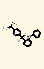 C=C(C)c1ccc(C(C)(C)c2ccccc2Nc2ccccc2)cc1